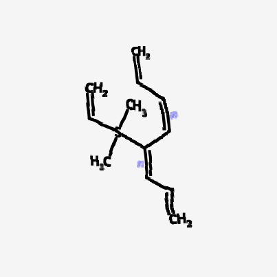 C=C/C=C\C(=C/C=C)S(C)(C)C=C